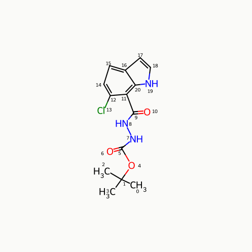 CC(C)(C)OC(=O)NNC(=O)c1c(Cl)ccc2cc[nH]c12